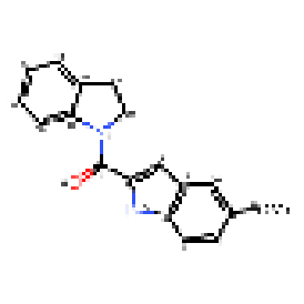 COc1ccc2[nH]c(C(=O)N3CCc4ccccc43)cc2c1